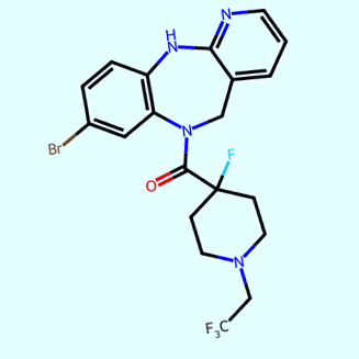 O=C(N1Cc2cccnc2Nc2ccc(Br)cc21)C1(F)CCN(CC(F)(F)F)CC1